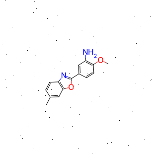 COc1ccc(-c2nc3ccc(C)cc3o2)cc1N